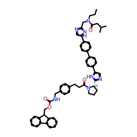 CCCN(Cc1ncc(-c2ccc(-c3ccc(-c4cnc([C@@H]5CCCN5C(=O)CCc5ccc(CNC(=O)OCC6c7ccccc7-c7ccccc76)cc5)[nH]4)cc3)cc2)[nH]1)C(=O)CC(C)C